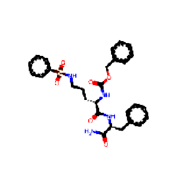 NC(=O)[C@H](Cc1ccccc1)NC(=O)[C@H](CCCNS(=O)(=O)c1ccccc1)NC(=O)OCc1ccccc1